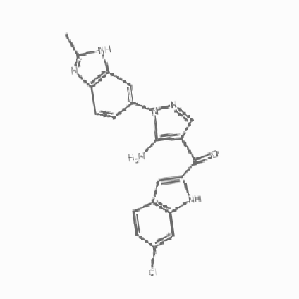 Cc1nc2ccc(-n3ncc(C(=O)c4cc5ccc(Cl)cc5[nH]4)c3N)cc2[nH]1